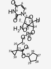 C[C@]1(N)[C@H](n2ccc(=O)[nH]c2=O)O[C@@H]2C3O[P@@](=O)(OCCC4(C(=O)OC5CCCC5)CC4)O[C@]321